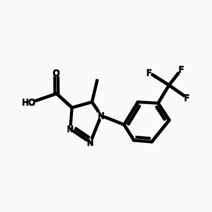 CC1C(C(=O)O)N=NN1c1cccc(C(F)(F)F)c1